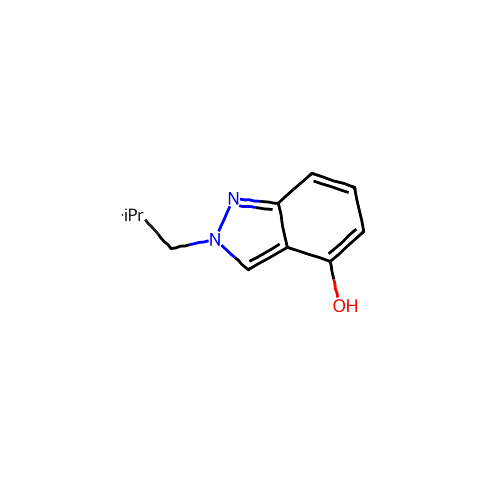 C[C](C)Cn1cc2c(O)cccc2n1